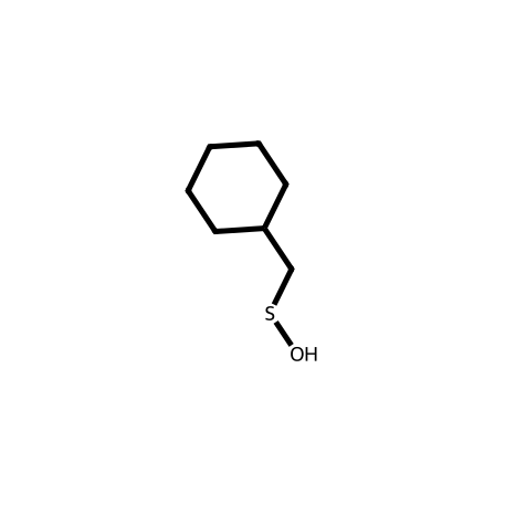 OSCC1CCCCC1